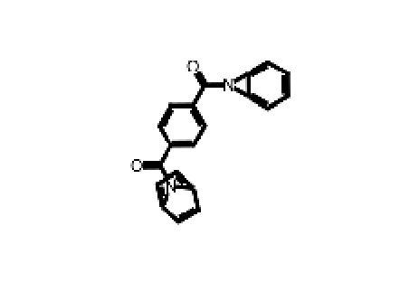 O=C(c1ccc(C(=O)n2c3ccc2cc3)cc1)N1c2ccccc21